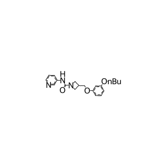 CCCCOc1cccc(OCC2CN(C(=O)Nc3cccnc3)C2)c1